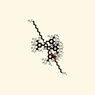 CCCCCCCCCCCCSC(Cc1cc(C(C)(C)C)c(O)c(C(C)(C)C)c1)(Cc1cc(C(C)(C)C)c(O)c(C(C)(C)C)c1)CC(CC(Cc1cc(C(C)(C)C)c(O)c(C(C)(C)C)c1)(Cc1cc(C(C)(C)C)c(O)c(C(C)(C)C)c1)SCCCCCCCCCCCC)(C(=O)O)C(=O)O